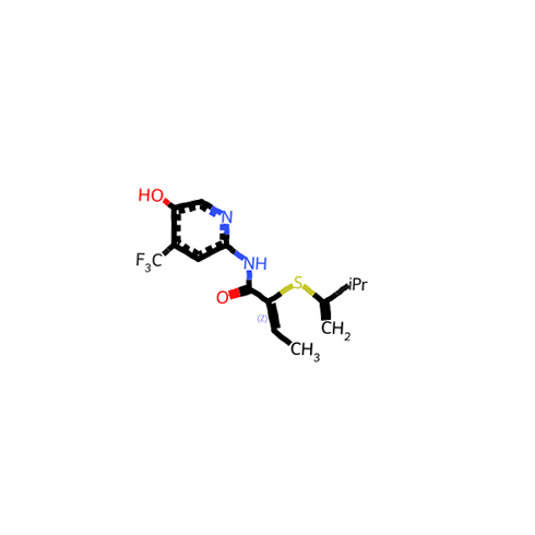 C=C(S/C(=C\C)C(=O)Nc1cc(C(F)(F)F)c(O)cn1)C(C)C